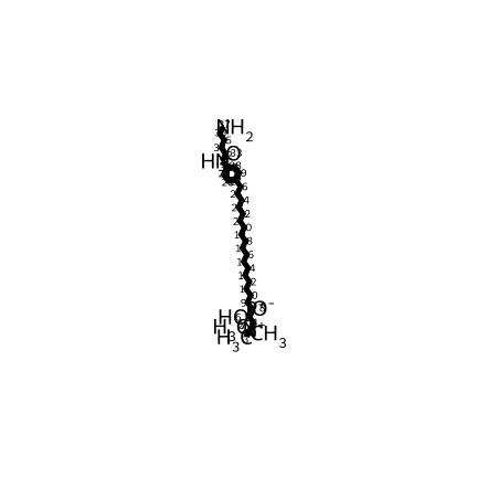 C[N+](C)(C)C/C(O)=[P+](\[O-])CCCCCCCCCCCCCCCCCCc1ccc(NC(=O)CCCN)cc1